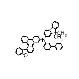 CC1(C)c2ccccc2-c2ccc(N(c3cccc(-c4ccccc4)c3)c3ccc4c5ccccc5c5c(ccc6oc7ccccc7c65)c4c3)cc21